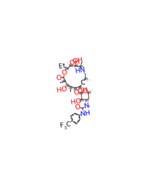 CC[C@H]1OC(=O)[C@H](C)[C@@H](O)[C@H](C)[C@@H](O[C@@H]2O[C@H](C)C[C@H](N(C)C(=O)Nc3ccc(C(F)(F)F)cc3)[C@H]2O)[C@](C)(O)C[C@@H](C)CN[C@H](C)[C@@H](O)[C@]1(C)O